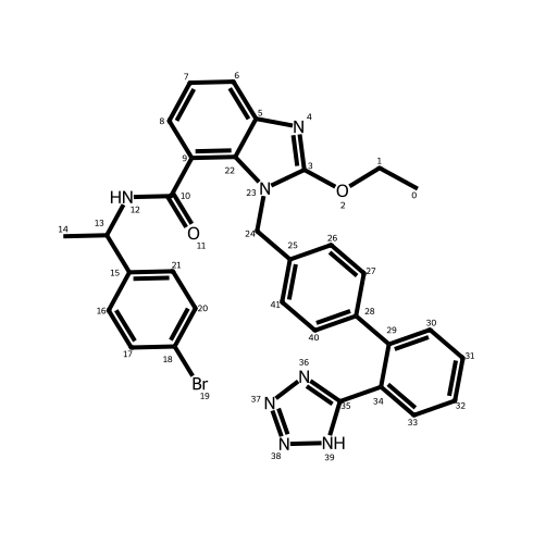 CCOc1nc2cccc(C(=O)NC(C)c3ccc(Br)cc3)c2n1Cc1ccc(-c2ccccc2-c2nnn[nH]2)cc1